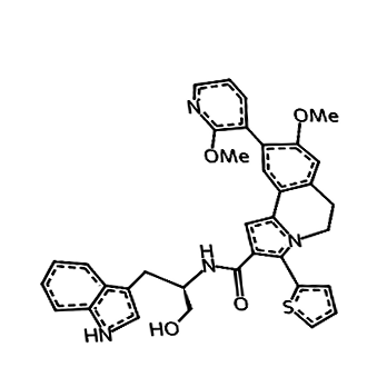 COc1cc2c(cc1-c1cccnc1OC)-c1cc(C(=O)N[C@@H](CO)Cc3c[nH]c4ccccc34)c(-c3cccs3)n1CC2